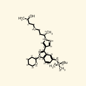 C[C@H](CCOCC[C@@H](C)O)n1cc(-c2nn(C3CCCCO3)c3ccc(O[Si](C)(C)C(C)(C)C)cc23)cn1